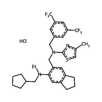 CCN(CC1CCCC1)c1cc2c(cc1CN(Cc1cc(C(F)(F)F)cc(C(F)(F)F)c1)c1nc(C)cs1)CCC2.Cl